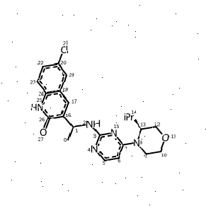 CC(Nc1nccc(N2CCOC[C@@H]2C(C)C)n1)c1cc2cc(Cl)ccc2[nH]c1=O